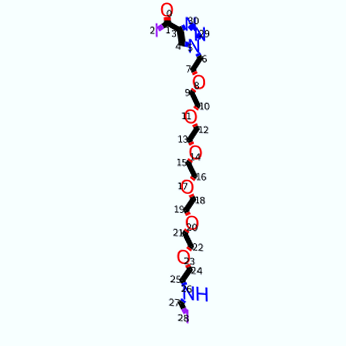 O=C(I)c1cn(CCOCCOCCOCCOCCOCCOCCNCI)nn1